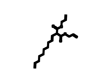 C=CCCCCCCC=CC(C(=O)OCC=C)C(=O)OCC=C